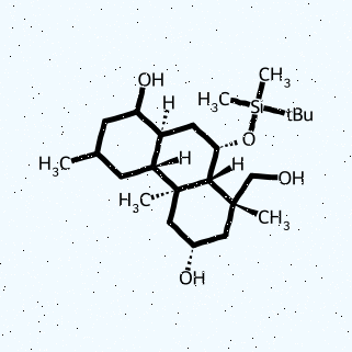 CC1CC(O)[C@H]2C[C@H](O[Si](C)(C)C(C)(C)C)[C@@H]3[C@](C)(CO)C[C@H](O)C[C@@]3(C)[C@@H]2C1